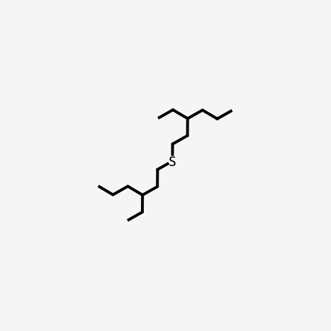 CCCC(CC)CCSCCC(CC)CCC